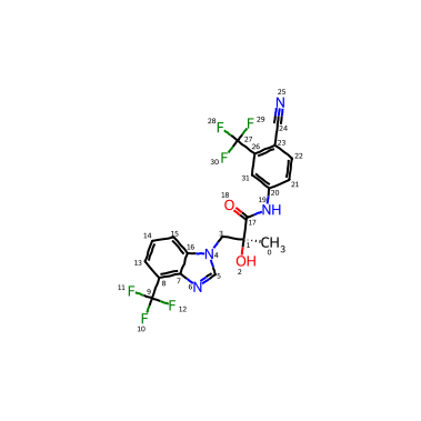 C[C@](O)(Cn1cnc2c(C(F)(F)F)cccc21)C(=O)Nc1ccc(C#N)c(C(F)(F)F)c1